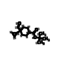 CC(C)(C)OC(=O)N1CCC(C=O)(C2CC2)CC1